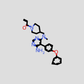 C=CC(=O)N1CCC(CN(C)c2ncnc(N)c2-c2ccc(Oc3ccccc3)cc2)CC1